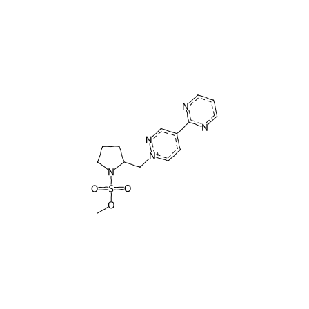 COS(=O)(=O)N1CCCC1C[n+]1ccc(-c2ncccn2)cn1